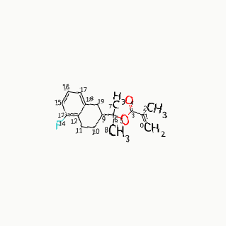 C=C(C)C(=O)OC(C)(C)C1CCc2c(F)cccc2C1